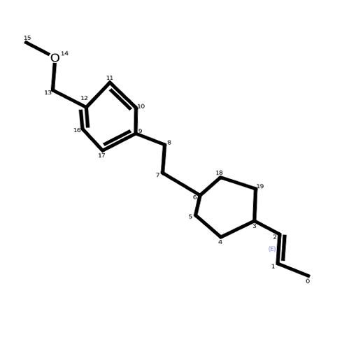 C/C=C/C1CCC(CCc2ccc(COC)cc2)CC1